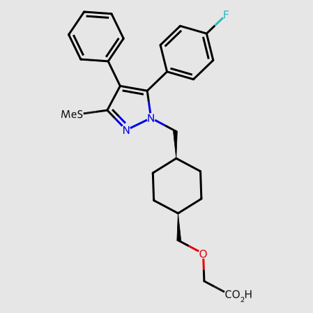 CSc1nn(C[C@H]2CC[C@@H](COCC(=O)O)CC2)c(-c2ccc(F)cc2)c1-c1ccccc1